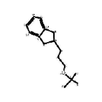 CC(C)(C)OCCCC1Cc2ccccc2C1